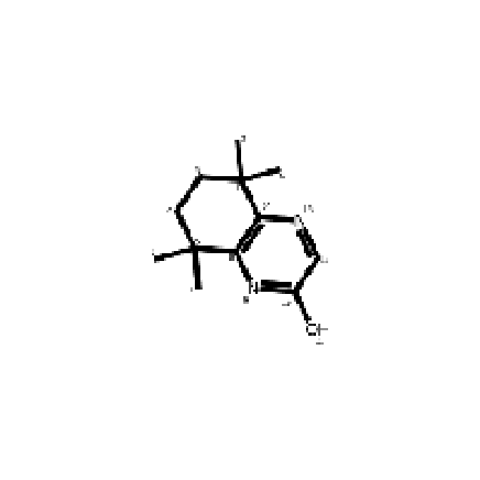 CC1(C)CCC(C)(C)c2nc(O)cnc21